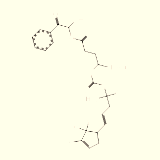 CCCCCCCC(CCC(=O)OC(C)C(=O)c1ccccc1)OC(=O)OC(C)(C)CC=CC1CC=C(C)C1(C)C